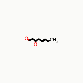 CCC=CCC(=O)CC=O